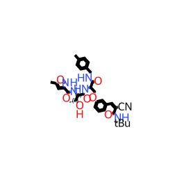 Cc1ccc(CNC(=O)C(COc2cccc(C=C(C#N)C(=O)NC(C)(C)C)c2)NC(=O)[C@@H](NC(=O)c2cc(C)on2)[C@@H](C)O)cc1